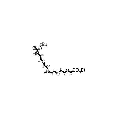 CCOC(=O)COCCOCCN(C)CCOCCNC(=O)OC(C)(C)C